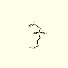 CCCCCCS(=O)(=O)CCC[O]